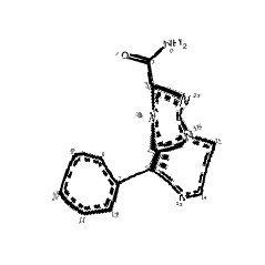 NC(=O)c1nc2c(-c3ccccc3)nccn2n1